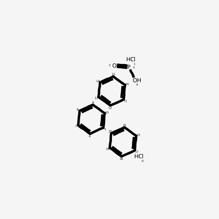 Cl.Cl.O=PO.c1ccccc1.c1ccccc1.c1ccccc1